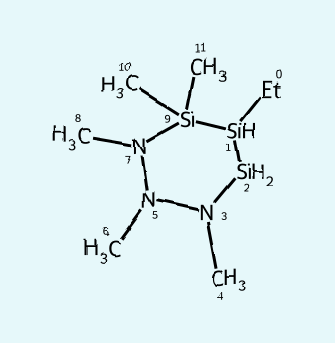 CC[SiH]1[SiH2]N(C)N(C)N(C)[Si]1(C)C